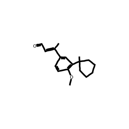 COc1ccc(C(C)=CC=O)cc1C1(C)CCCCC1